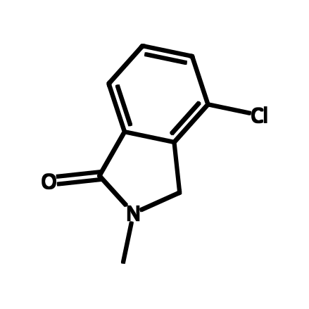 CN1Cc2c(Cl)cccc2C1=O